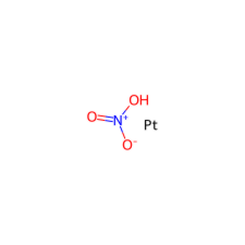 O=[N+]([O-])O.[Pt]